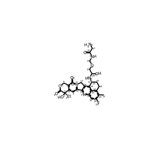 CC[C@@]1(O)C(=O)OCc2c1cc1n(c2=O)Cc2c-1nc1cc(F)c(C)c3c1c2[C@@H](NC(O)COCNC(=O)CN)CC3